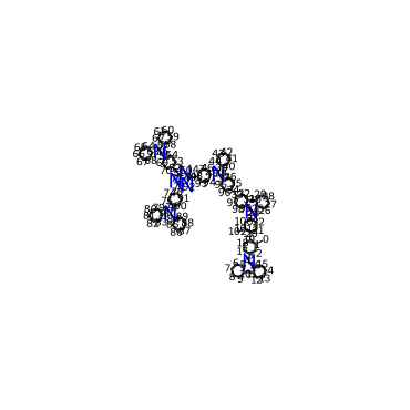 Cc1cc(-n2c3ccccc3c3ccccc32)ccc1-c1ccc(-n2c3ccccc3c3cc(-c4ccc(N(c5ccccc5)c5ccc(-c6nc(-c7ccc(N(c8ccccc8)c8ccccc8)cc7)nc(-c7ccc(N(c8ccccc8)c8ccccc8)cc7)n6)cc5)cc4)ccc32)cc1C